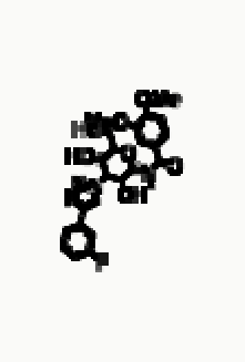 COc1ccc(C(=O)N(C)[C@@H]2OC(CO)[C@H](O)C(n3cc(-c4cccc(F)c4)nn3)C2O)cc1OC